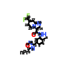 CCCc1nc(-c2ccc(C)c(NC(=O)c3cnc4cc(C(F)F)ccn34)c2)no1